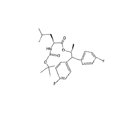 CC(C)C[C@H](NC(=O)OC(C)(C)C)C(=O)O[C@@H](C)C(c1ccc(F)cc1)c1ccc(F)cc1